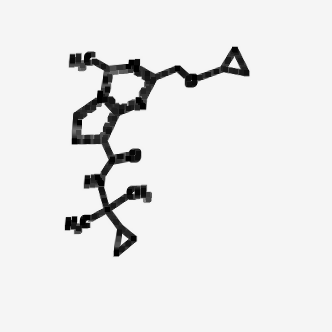 Cc1nc(COC2CC2)nc2c(C(=O)NC(C)(C)C3CC3)ccn12